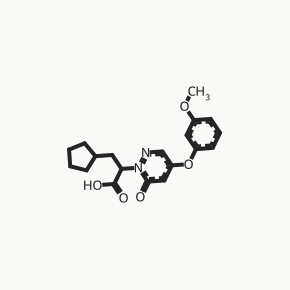 COc1cccc(Oc2cnn(C(CC3CCCC3)C(=O)O)c(=O)c2)c1